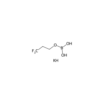 OB(O)OCCC(F)(F)F.[KH]